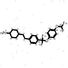 CCCC1CCC(CCc2ccc(C(F)(F)Oc3ccc(OC(F)F)cc3)cc2)CC1